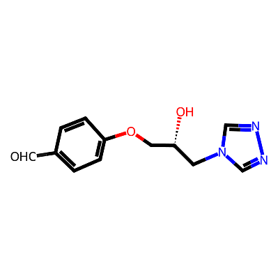 O=Cc1ccc(OC[C@H](O)Cn2cnnc2)cc1